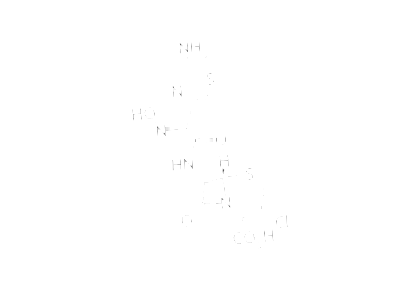 Nc1nc(C(=NO)C(=O)NC2C(=O)N3C(C(=O)O)=C(Cl)CS[C@@H]23)cs1